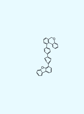 c1ccc2c(c1)OCc1cccc(-c3ccc(-c4ccc(-c5cccc6c5oc5ccccc56)cc4)cc3)c1-2